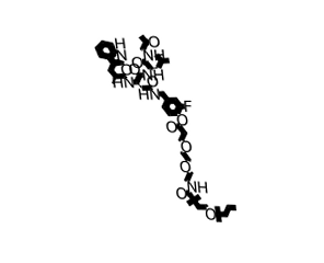 CCCC(C)(C)OCCC(C)(C)C(=O)NCCOCCOCCC(=O)Oc1ccc(CNC(=O)C[C@H](NC(=O)[C@@H](C)Cc2c[nH]c3ccccc23)C(=O)N[C@@H](CC(C)C)C(=O)NCC(C)=O)cc1F